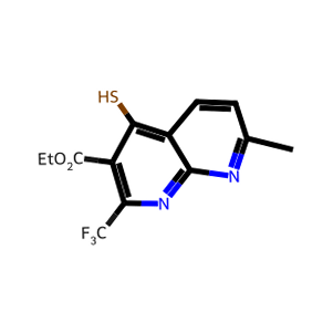 CCOC(=O)c1c(C(F)(F)F)nc2nc(C)ccc2c1S